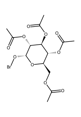 CC(=O)OC[C@H]1O[C@H](OBr)[C@H](OC(C)=O)[C@@H](OC(C)=O)[C@@H]1OC(C)=O